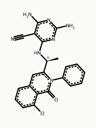 C[C@H](Nc1nc(N)nc(N)c1C#N)c1cc2cccc(Cl)c2c(=O)n1-c1ccccc1